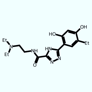 CCc1cc(-c2nnc(C(=O)NCCN(CC)CC)[nH]2)c(O)cc1O